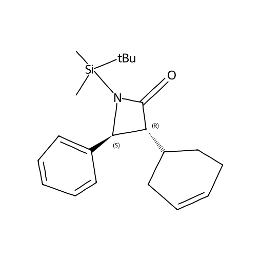 CC(C)(C)[Si](C)(C)N1C(=O)[C@H](C2CC=CCC2)[C@H]1c1ccccc1